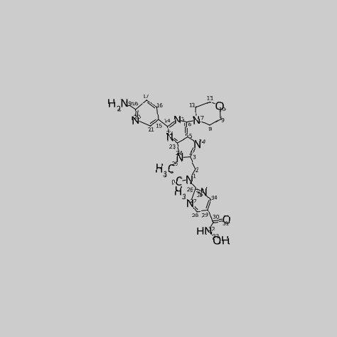 CN(Cc1nc2c(N3CCOCC3)nc(-c3ccc(N)nc3)nc2n1C)c1ncc(C(=O)NO)cn1